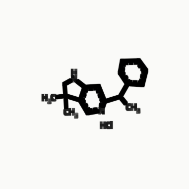 CC(c1ccccc1)c1cc2c(cn1)C(C)(C)CN2.Cl